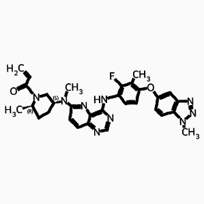 C=CC(=O)N1C[C@@H](N(C)c2ccc3ncnc(Nc4ccc(Oc5ccc6c(c5)nnn6C)c(C)c4F)c3n2)CC[C@H]1C